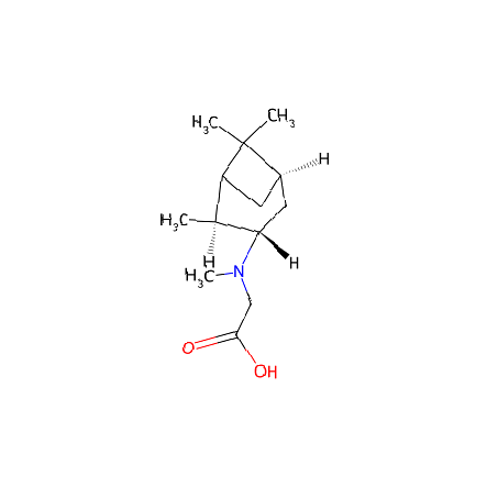 C[C@H]1C2C[C@H](C[C@@H]1N(C)CC(=O)O)C2(C)C